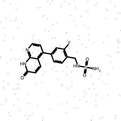 NS(=O)(=O)NCc1ccc(-c2ccnc3[nH]c(=O)ccc23)cc1F